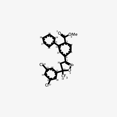 COC(=O)c1ccc(C2=NOC(c3cc(Cl)cc(Cl)c3)(C(F)(F)F)C2)cc1-c1ccccc1